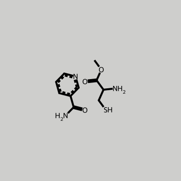 COC(=O)C(N)CS.NC(=O)c1cccnc1